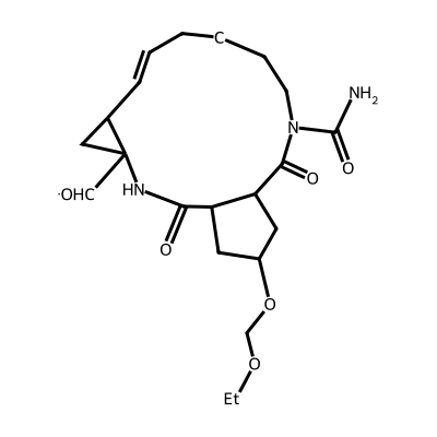 CCOCOC1CC2C(=O)NC3([C]=O)CC3/C=C/CCCCN(C(N)=O)C(=O)C2C1